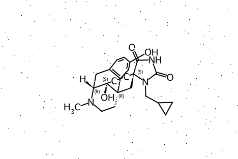 CN1CC[C@]23C[C@@]4(CC[C@@]2(O)[C@H]1Cc1ccc(O)cc13)C(=O)NC(=O)N4CC1CC1